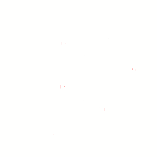 Oc1cccc(C(c2cc(C3CCCCC3)c(O)cc2O)c2cc(C3CCCCC3)c(O)cc2O)c1